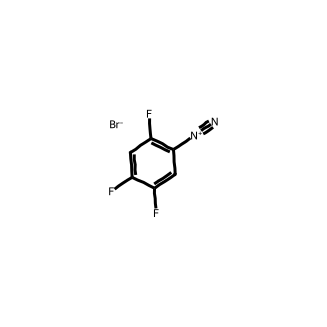 N#[N+]c1cc(F)c(F)cc1F.[Br-]